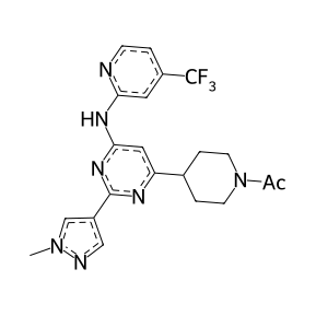 CC(=O)N1CCC(c2cc(Nc3cc(C(F)(F)F)ccn3)nc(-c3cnn(C)c3)n2)CC1